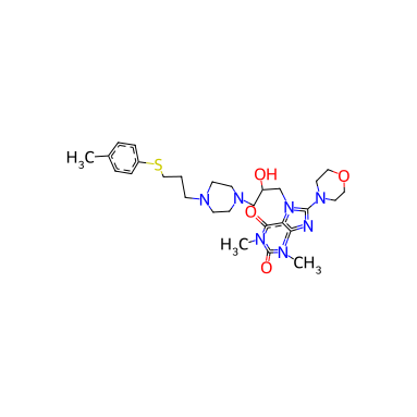 Cc1ccc(SCCCN2CCN(CC(O)Cn3c(N4CCOCC4)nc4c3c(=O)n(C)c(=O)n4C)CC2)cc1